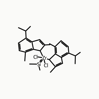 CC1=Cc2c(C(C)C)ccc(C)c2[CH]1[Zr]([Cl])([Cl])([CH]1C(C)=Cc2c(C(C)C)ccc(C)c21)=[Si](C)C